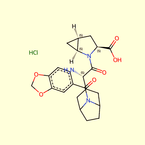 Cl.N[C@H](C(=O)N1[C@H](C(=O)O)C[C@@H]2C[C@@H]21)C1CC2CCC(C1)N2C(=O)c1ccc2c(c1)OCO2